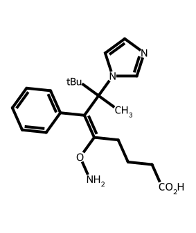 CC(C)(C)C(C)(C(=C(CCCC(=O)O)ON)c1ccccc1)n1ccnc1